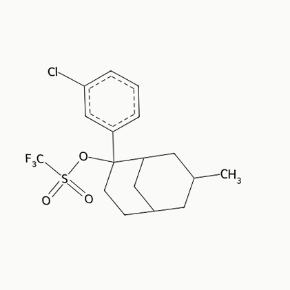 CC1CC2CCC(OS(=O)(=O)C(F)(F)F)(c3cccc(Cl)c3)C(C1)C2